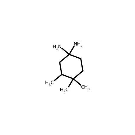 CC1CC(N)(N)CCC1(C)C